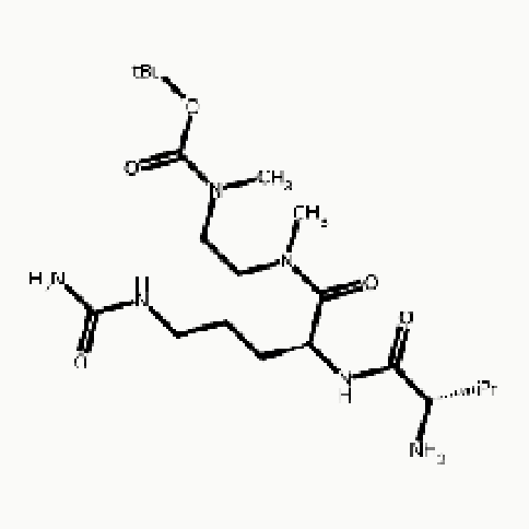 CC(C)[C@H](N)C(=O)N[C@@H](CCCNC(N)=O)C(=O)N(C)CCN(C)C(=O)OC(C)(C)C